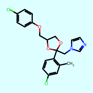 Cc1cc(Cl)ccc1C1(Cn2ccnc2)OCC(COc2ccc(Cl)cc2)O1